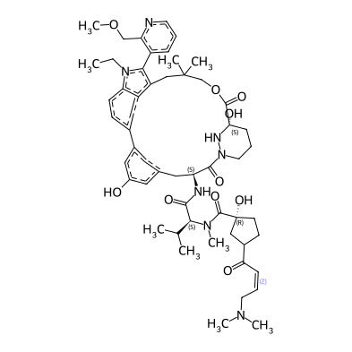 CCn1c(-c2cccnc2COC)c2c3cc(ccc31)-c1cc(O)cc(c1)C[C@H](NC(=O)[C@H](C(C)C)N(C)C(=O)[C@@]1(O)CCC(C(=O)/C=C\CN(C)C)C1)C(=O)N1CCC[C@@](O)(N1)C(=O)OCC(C)(C)C2